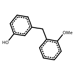 COc1ccccc1Cc1cccc(O)c1